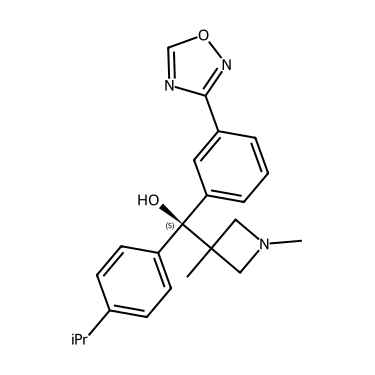 CC(C)c1ccc([C@](O)(c2cccc(-c3ncon3)c2)C2(C)CN(C)C2)cc1